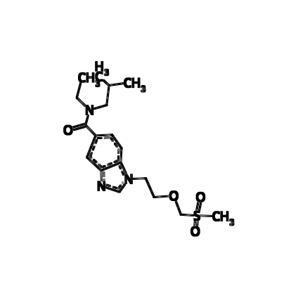 CCN(CC(C)C)C(=O)c1ccc2c(c1)ncn2CCOCS(C)(=O)=O